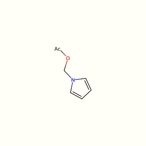 CC(=O)OCn1cccc1